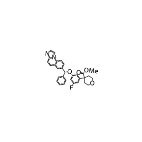 COC(=O)C1(c2cc(F)cc(OC(c3ccccc3)c3ccc4c(ccc5nccn54)c3)c2)CCOCC1